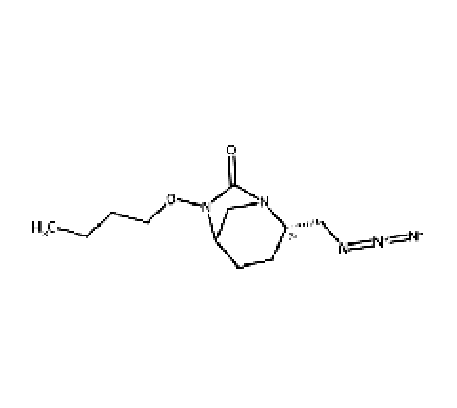 CCCCON1C(=O)N2CC1CC[C@H]2CN=[N+]=[N-]